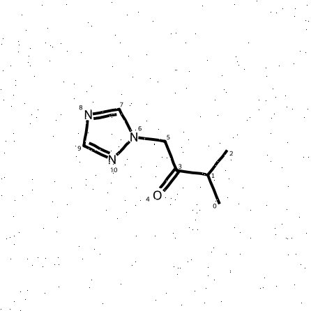 CC(C)C(=O)Cn1cncn1